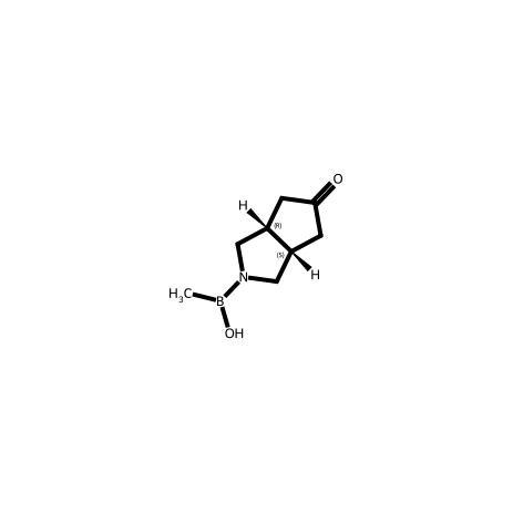 CB(O)N1C[C@H]2CC(=O)C[C@H]2C1